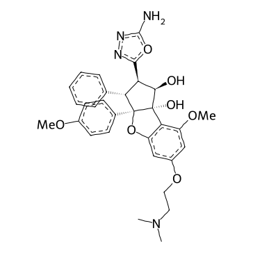 COc1ccc([C@@]23Oc4cc(OCCN(C)C)cc(OC)c4[C@]2(O)[C@H](O)[C@H](c2nnc(N)o2)[C@H]3c2ccccc2)cc1